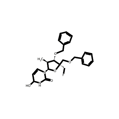 C[C@@H]1[C@H](N2C=CC(O)NC2=O)O[C@](CF)(COCc2ccccc2)[C@H]1OCc1ccccc1